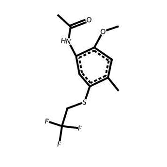 COc1cc(C)c(SCC(F)(F)F)cc1NC(C)=O